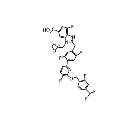 O=C(O)c1cc(F)c2nc(Cc3cc(F)c(-c4ccc(F)c(OCc5ccc(C(F)F)cc5F)n4)cc3F)n(C[C@@H]3CCO3)c2c1